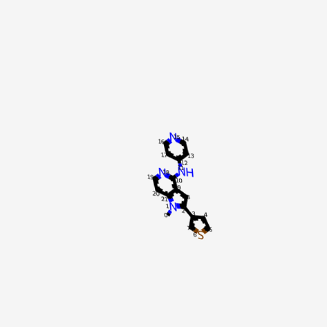 Cn1c(-c2ccsc2)cc2c(Nc3ccncc3)nccc21